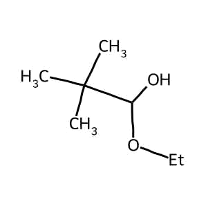 CCOC(O)C(C)(C)C